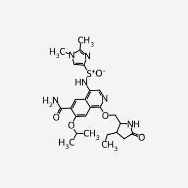 CCC1CC(=O)NC1COc1ncc(N[S+]([O-])c2cn(C)c(C)n2)c2cc(C(N)=O)c(OC(C)C)cc12